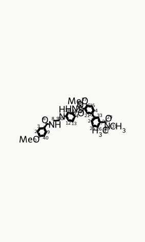 COc1ccc(C(=O)NCCNc2cccc(NS(=O)(=O)c3cc(-c4cccc(C(=O)N(C)C)c4)ccc3OC)c2)cc1